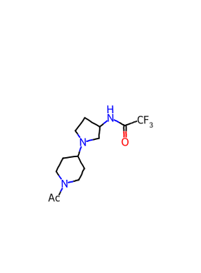 CC(=O)N1CCC(N2CCC(NC(=O)C(F)(F)F)C2)CC1